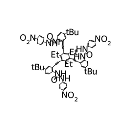 CCc1c(C#Cc2cc(C(C)(C)C)ccc2NC(=O)Nc2ccc([N+](=O)[O-])cc2)c(CC)c(C#Cc2cc(C(C)(C)C)ccc2NC(=O)Nc2ccc([N+](=O)[O-])cc2)c(CC)c1C#Cc1cc(C(C)(C)C)ccc1NC(=O)Nc1ccc([N+](=O)[O-])cc1